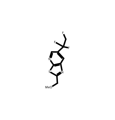 COCc1nc2cc(C(F)(F)CF)cnc2s1